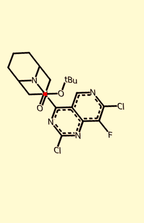 CC(C)(C)OC(=O)N1C2CCCC1CN(c1nc(Cl)nc3c(F)c(Cl)ncc13)C2